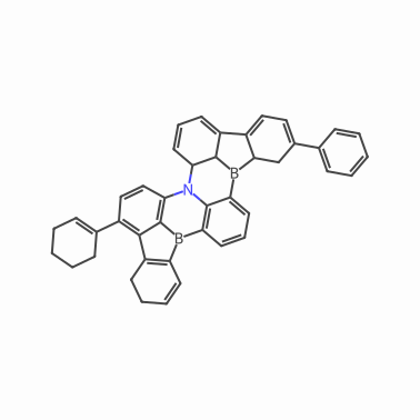 C1=CC2C3B(c4cccc5c4N2c2ccc(C4=CCCCC4)c4c2B5C2=C4CCC=C2)C2CC(c4ccccc4)=CC=C2C3=C1